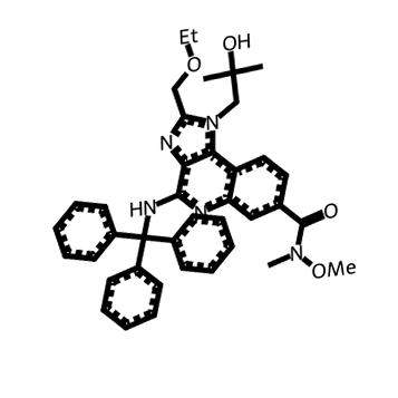 CCOCc1nc2c(NC(c3ccccc3)(c3ccccc3)c3ccccc3)nc3cc(C(=O)N(C)OC)ccc3c2n1CC(C)(C)O